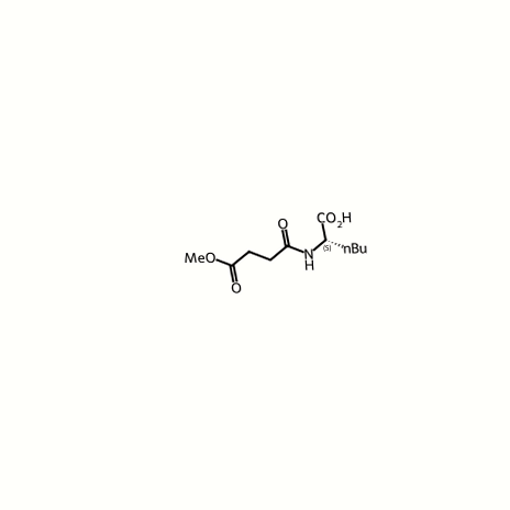 CCCC[C@H](NC(=O)CCC(=O)OC)C(=O)O